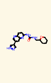 O=C(NCC1CCCCO1)Nc1ccc2ncc(-c3cn[nH]c3)cc2n1